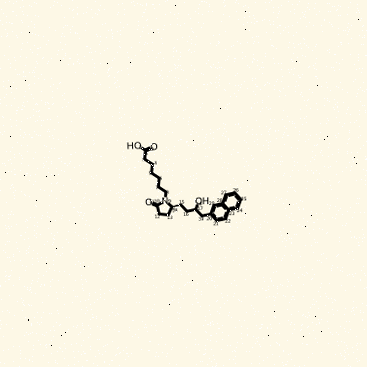 O=C(O)CCCCCCN1C(=O)CC[C@@H]1CCC(O)Cc1ccc2ccccc2c1